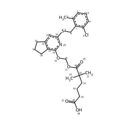 Cc1cncc(Cl)c1CSc1nc2c(c(OCOC(=O)C(C)(C)CCCC(=O)O)n1)CCC2